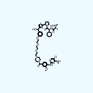 CNc1nc(Nc2ccc(C(=O)N3CCN(CCOCCOCCOc4cccc(C(O)c5csc(C6CCCN6C(=O)[C@@H](NC(=O)[C@H](C)NC)C6CCCCC6)n5)c4)CC3)cc2OC)ncc1Cl